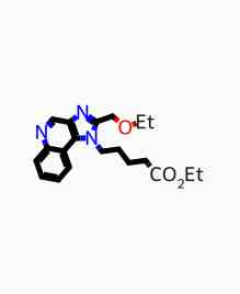 CCOCc1nc2cnc3ccccc3c2n1CCCCC(=O)OCC